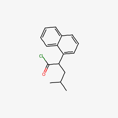 CC(C)CC(C(=O)Cl)c1cccc2ccccc12